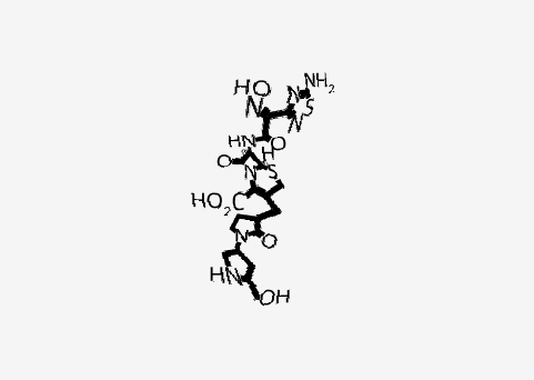 Nc1nc(C(=NO)C(=O)N[C@@H]2C(=O)N3C(C(=O)O)=C(C=C4CCN(C5CNC(CO)C5)C4=O)CS[C@H]23)ns1